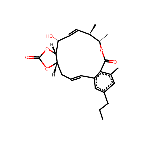 CCCc1cc(C)c2c(c1)/C=C/C[C@@H]1OC(=O)O[C@@H]1[C@H](O)/C=C\[C@@H](C)[C@H](C)OC2=O